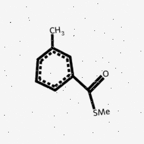 CSC(=O)c1cccc(C)c1